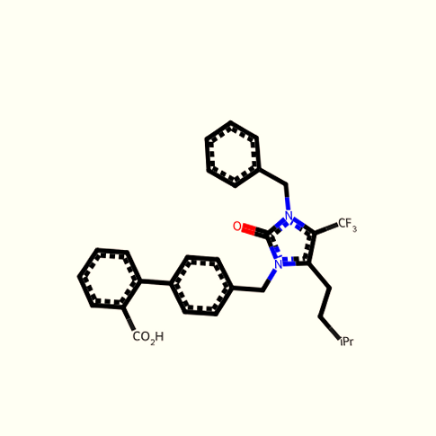 CC(C)CCc1c(C(F)(F)F)n(Cc2ccccc2)c(=O)n1Cc1ccc(-c2ccccc2C(=O)O)cc1